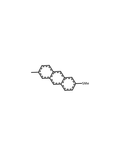 CSc1ccc2cc3cc(C)ccc3cc2c1